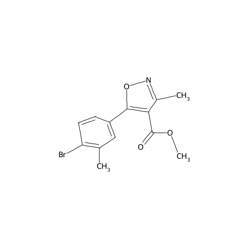 COC(=O)c1c(C)noc1-c1ccc(Br)c(C)c1